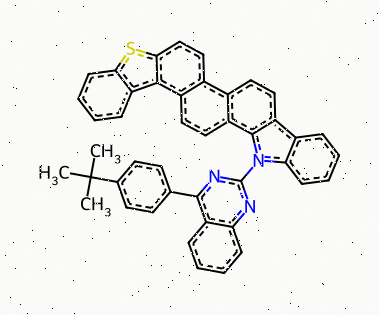 CC(C)(C)c1ccc(-c2nc(-n3c4ccccc4c4ccc5c6ccc7sc8ccccc8c7c6ccc5c43)nc3ccccc23)cc1